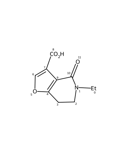 CCN1CCc2occ(C(=O)O)c2C1=O